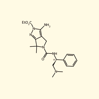 CCOC(=O)n1nc2c(c1N)CN(C(=O)N[C@H](CN(C)C)c1ccccc1)C2(C)C